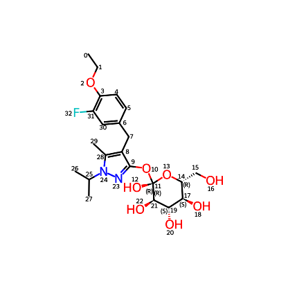 CCOc1ccc(Cc2c(O[C@]3(O)O[C@H](CO)[C@@H](O)[C@H](O)[C@H]3O)nn(C(C)C)c2C)cc1F